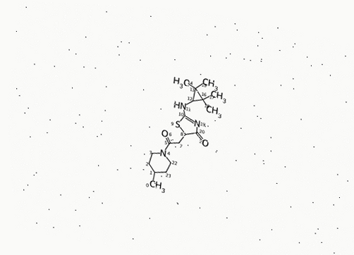 CC1CCN(C(=O)CC2SC(NC3C(C)(C)C3(C)C)=NC2=O)CC1